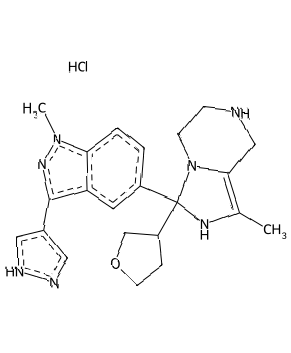 CC1=C2CNCCN2C(c2ccc3c(c2)c(-c2cn[nH]c2)nn3C)(C2CCOC2)N1.Cl